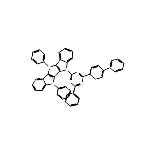 C1=CC(c2nc(-c3ccccc3)nc(-n3c4ccccc4c4c3c3c(c5ccccc5n3-c3ccccc3)n4-c3ccccc3)n2)CC=C1c1ccccc1